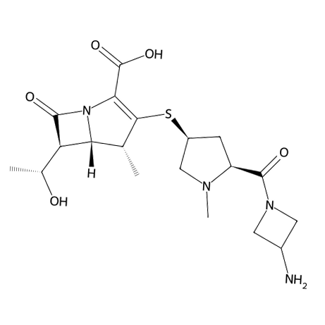 C[C@@H](O)[C@H]1C(=O)N2C(C(=O)O)=C(S[C@H]3C[C@@H](C(=O)N4CC(N)C4)N(C)C3)[C@H](C)[C@H]12